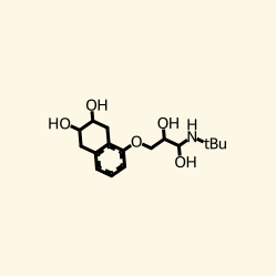 CC(C)(C)NC(O)C(O)COc1cccc2c1CC(O)C(O)C2